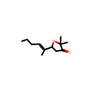 CCC/C=C(\C)C1CC(=O)C(C)(C)O1